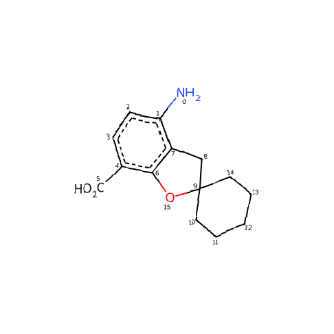 Nc1ccc(C(=O)O)c2c1CC1(CCCCC1)O2